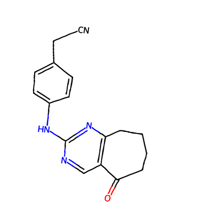 N#CCc1ccc(Nc2ncc3c(n2)CCCCC3=O)cc1